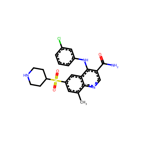 Cc1cc(S(=O)(=O)C2CCNCC2)cc2c(Nc3cccc(Cl)c3)c(C(N)=O)cnc12